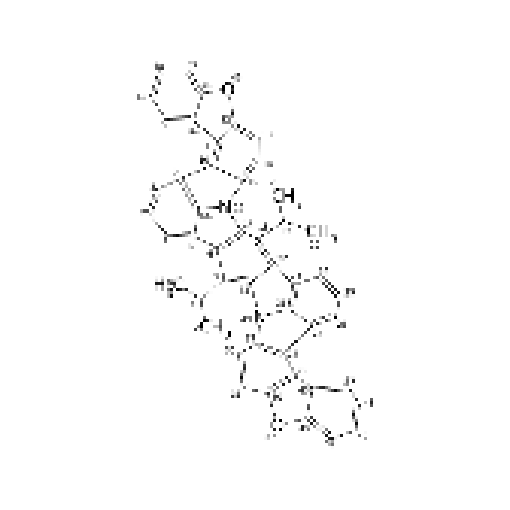 CC(C)c1c2c3cccc4c5c6c(ccc5n(c2c(C(C)C)c2c5cccc7c8c9c(ccc8n(c12)c57)oc1ccccc19)c34)oc1ccccc16